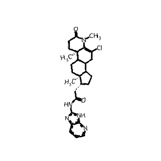 CN1C(=O)CC[C@@]2(C)C1=C(Cl)CC1C2CC[C@@]2(C)C1CC[C@@H]2CC(=O)Nc1nc2cccnc2[nH]1